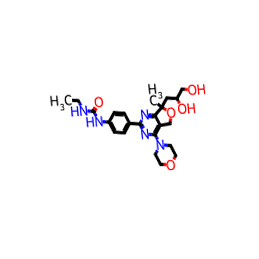 CCNC(=O)Nc1ccc(-c2nc(N3CCOCC3)c3c(n2)C(C)(CC(O)CO)OC3)cc1